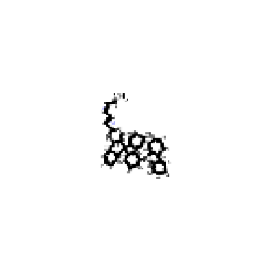 C=C/C=C\C=C\c1ncc2c(n1)-c1ccccc1C2(c1ccccc1)c1cccc(-n2c3ccccc3c3ccccc32)c1